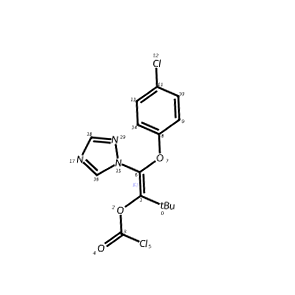 CC(C)(C)/C(OC(=O)Cl)=C(\Oc1ccc(Cl)cc1)n1cncn1